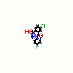 O=C(Nc1ccc(F)cn1)c1cc(Cl)ccc1NO